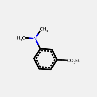 CCOC(=O)c1[c]ccc(N(C)C)c1